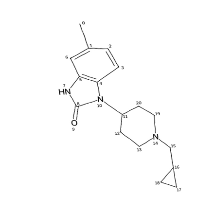 Cc1ccc2c(c1)[nH]c(=O)n2C1CCN(CC2CC2)CC1